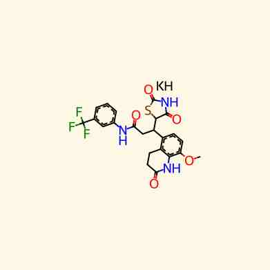 COc1ccc(C(CC(=O)Nc2cccc(C(F)(F)F)c2)C2SC(=O)NC2=O)c2c1NC(=O)CC2.[KH]